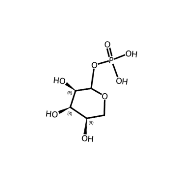 O=P(O)(O)OC1OC[C@@H](O)[C@@H](O)[C@H]1O